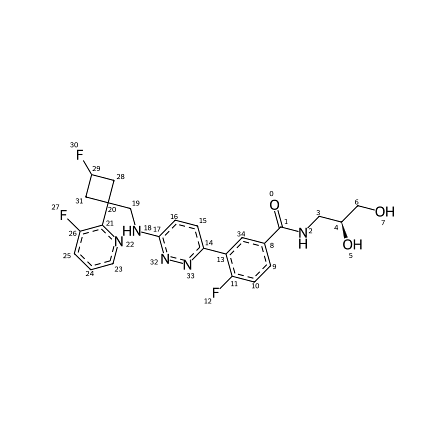 O=C(NC[C@H](O)CO)c1ccc(F)c(-c2ccc(NCC3(c4ncccc4F)CC(F)C3)nn2)c1